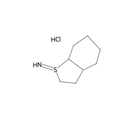 Cl.N=S1CCC2CCCCC21